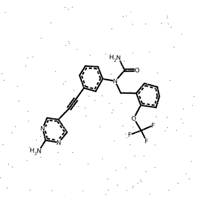 NC(=O)N(Cc1ccccc1OC(F)(F)F)c1cccc(C#Cc2cnc(N)nc2)c1